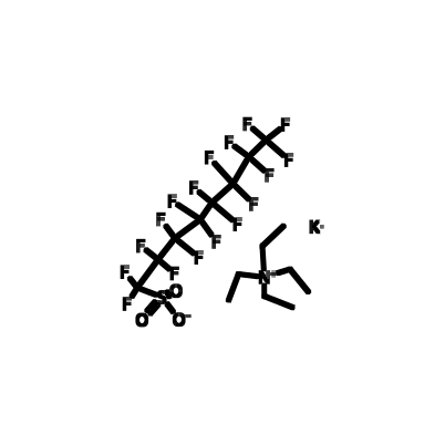 CC[N+](CC)(CC)CC.O=S(=O)([O-])C(F)(F)C(F)(F)C(F)(F)C(F)(F)C(F)(F)C(F)(F)C(F)(F)C(F)(F)F.[K]